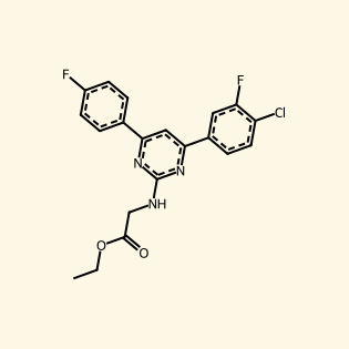 CCOC(=O)CNc1nc(-c2ccc(F)cc2)cc(-c2ccc(Cl)c(F)c2)n1